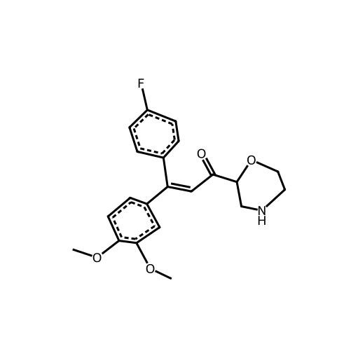 COc1ccc(C(=CC(=O)C2CNCCO2)c2ccc(F)cc2)cc1OC